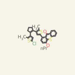 CCCOc1ccc(-c2cc(C3=C(c4cc(Cl)sc4C)CCC3)c(C)s2)c2c(=O)c3ccccc3sc12